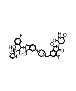 O=C1CCC(N2C(=O)c3cc(CN4CCN(c5ccc6c(c5)C(=O)N(C(C(=O)Nc5nccs5)c5cc(F)ccc5O)C6)CC4)cc(F)c3C2=O)C(=O)N1